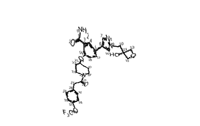 NC(=O)c1cc(-c2cnn(CC3(O)COC3)c2)ccc1OC1CCN(C(=O)Cc2ccc(OC(F)(F)F)cc2)CC1